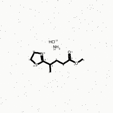 COC(=O)CCC(C)C1=NCCS1.Cl.N